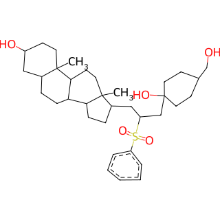 CC12CCC(O)CC1CCC1C2CCC2(C)C(CC(CC3(O)CCC(CO)CC3)S(=O)(=O)c3ccccc3)CCC12